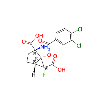 N[C@]1(C(=O)O)CC[C@@H]2[C@]1(OC(=O)c1ccc(Cl)c(Cl)c1)[C@@]2(F)C(=O)O